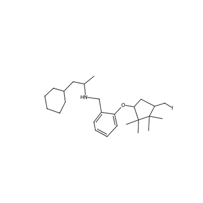 CC(CC1CCCCC1)NCc1ccccc1OC1CC(CI)C(C)(C)C1(C)C